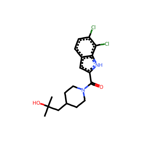 CC(C)(O)CC1CCN(C(=O)c2cc3ccc(Cl)c(Cl)c3[nH]2)CC1